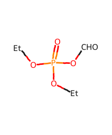 CCOP(=O)(OC=O)OCC